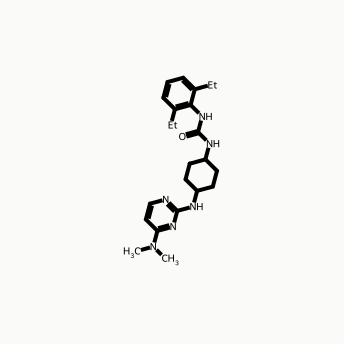 CCc1cccc(CC)c1NC(=O)NC1CCC(Nc2nccc(N(C)C)n2)CC1